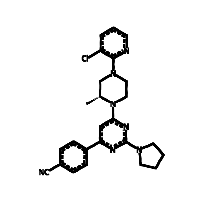 C[C@@H]1CN(c2ncccc2Cl)CCN1c1cc(-c2ccc(C#N)cc2)nc(N2CCCC2)n1